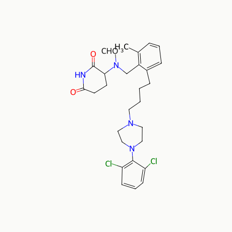 Cc1cccc(CCCCN2CCN(c3c(Cl)cccc3Cl)CC2)c1CN(C=O)C1CCC(=O)NC1=O